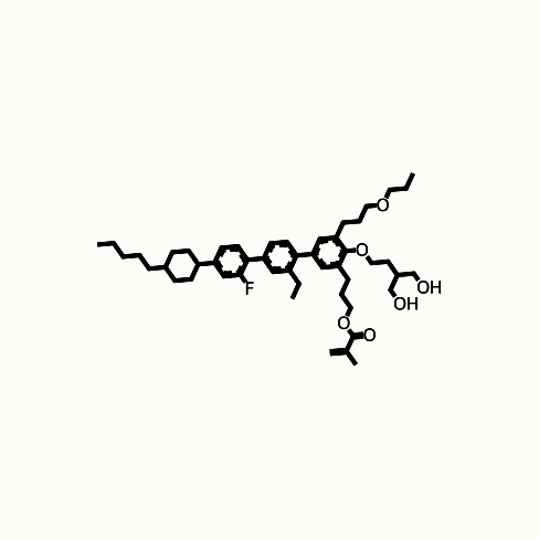 C=C(C)C(=O)OCCCc1cc(-c2ccc(-c3ccc(C4CCC(CCCCC)CC4)cc3F)cc2CC)cc(CCCOCCC)c1OCCC(CO)CO